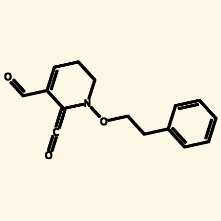 O=C=C1C(C=O)=CCCN1OCCc1ccccc1